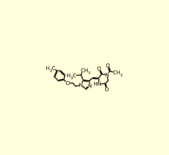 CC(=O)N1CC(=O)NC(=Cc2ncn(CCOc3ccc(C)cc3)c2C(C)C)C1=O